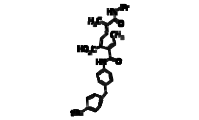 C\C=C(C(=O)Nc1ccc(Cc2ccc(C(C)(C)C)cc2)cc1)/C(=C\C=C(/C)C(=O)NC(C)C)C(=O)O